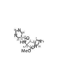 COC(=O)C(C)(Cc1cn(C)cn1)NC(=O)c1cncnc1